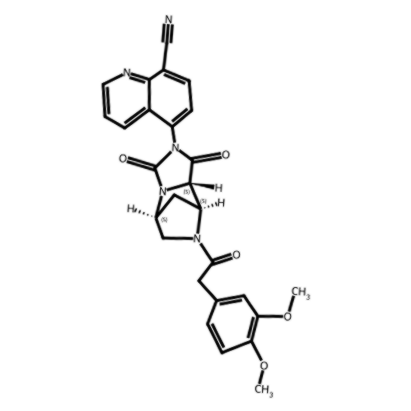 COc1ccc(CC(=O)N2C[C@@H]3C[C@H]2[C@H]2C(=O)N(c4ccc(C#N)c5ncccc45)C(=O)N32)cc1OC